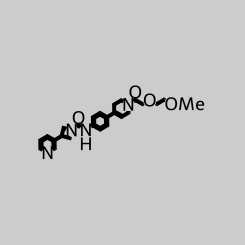 COCCOCC(=O)N1CC=C(c2ccc(NC(=O)N3CC(c4cccnc4)C3)cc2)CC1